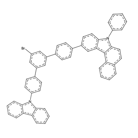 Brc1cc(-c2ccc(-c3ccc4c(c3)c3c5ccccc5ccc3n4-c3ccccc3)cc2)cc(-c2ccc(-n3c4ccccc4c4ccccc43)cc2)c1